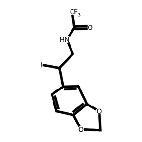 O=C(NCC(I)c1ccc2c(c1)OCO2)C(F)(F)F